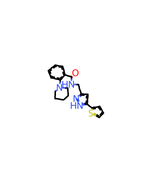 O=C(NCc1cc(-c2cccs2)[nH]n1)c1ccccc1N1CCCCC1